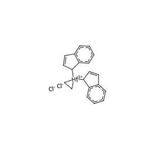 C1=C[CH]([Hf+2]2([CH]3C=Cc4ccccc43)[CH2][CH2]2)c2ccccc21.[Cl-].[Cl-]